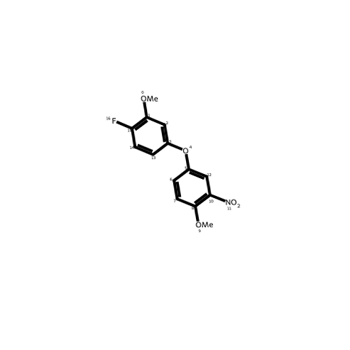 COc1cc(Oc2ccc(OC)c([N+](=O)[O-])c2)ccc1F